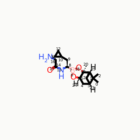 CC1(C)[C@@H]2C[C@H]3OB([C@H](CC4CC4)NC(=O)CN)O[C@@]3(C)[C@H]1C2